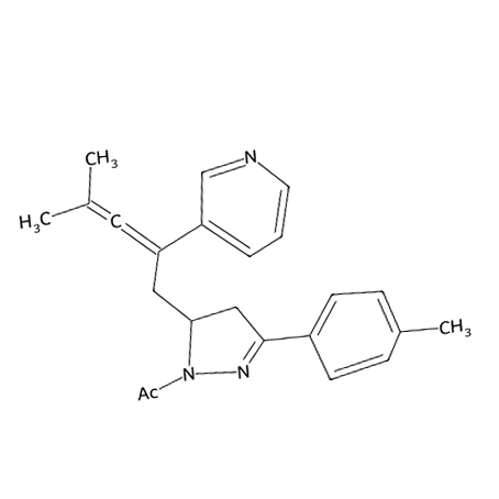 CC(=O)N1N=C(c2ccc(C)cc2)CC1CC(=C=C(C)C)c1cccnc1